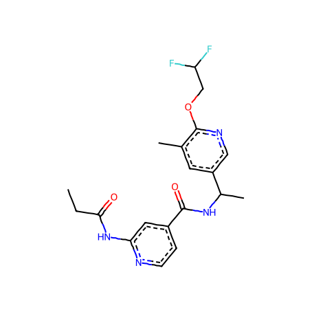 CCC(=O)Nc1cc(C(=O)NC(C)c2cnc(OCC(F)F)c(C)c2)ccn1